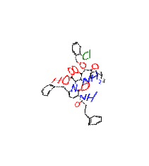 CC(=O)C(OCc1ccccc1Cl)C(=O)C(N)C(C(=O)O)n1c(Cc2ccccc2)ccc(NC(=O)CCc2ccccc2)c1=O